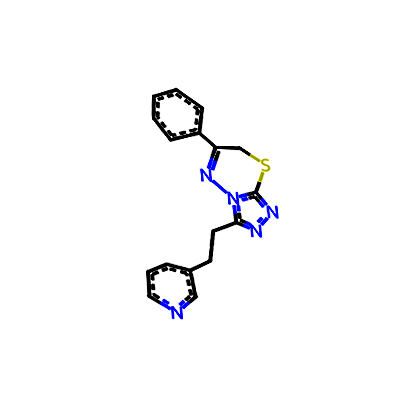 c1ccc(C2=Nn3c(CCc4cccnc4)nnc3SC2)cc1